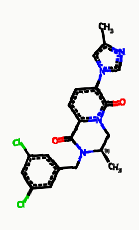 Cc1cn(-c2ccc3n(c2=O)C[C@@H](C)N(Cc2cc(Cl)cc(Cl)c2)C3=O)cn1